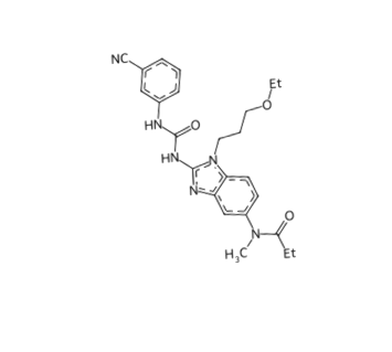 CCOCCCn1c(NC(=O)Nc2cccc(C#N)c2)nc2cc(N(C)C(=O)CC)ccc21